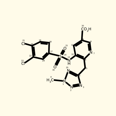 Cn1nnc(Cc2ncc(C(=O)O)cc2NS(=O)(=O)c2ccc(Cl)c(Cl)c2)n1